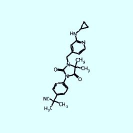 CC(C)(C#N)c1ccc(N2C(=O)N(Cc3ccnc(NC4CC4)c3)C(C)(C)C2=O)cc1